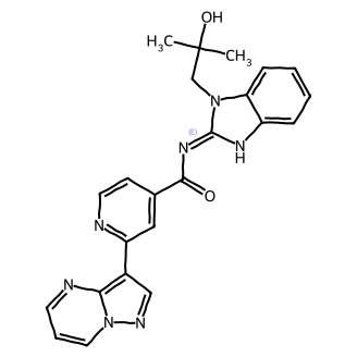 CC(C)(O)Cn1/c(=N/C(=O)c2ccnc(-c3cnn4cccnc34)c2)[nH]c2ccccc21